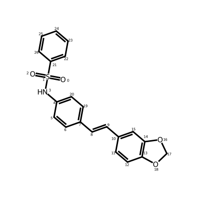 O=S(=O)(Nc1ccc(/C=C/c2ccc3c(c2)OCO3)cc1)c1ccccc1